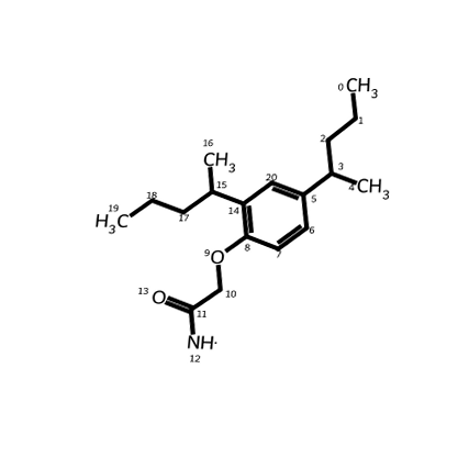 CCCC(C)c1ccc(OCC([NH])=O)c(C(C)CCC)c1